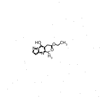 CCOC(=O)Cc1c(C)nc2ccnn2c1O